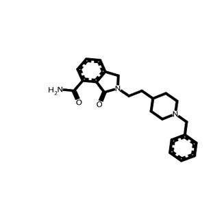 NC(=O)c1cccc2c1C(=O)N(CCC1CCN(Cc3ccccc3)CC1)C2